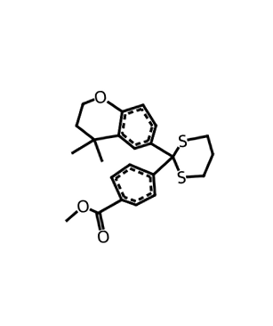 COC(=O)c1ccc(C2(c3ccc4c(c3)C(C)(C)CCO4)SCCCS2)cc1